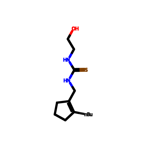 CCCCC1=C(CNC(=S)NCCO)CCC1